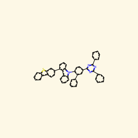 c1ccc(-c2nc(-c3ccccc3)nc(-c3ccc(-n4c5ccccc5c5c(-c6ccc7c(c6)sc6ccccc67)cccc54)c(-c4ccccc4)c3)n2)cc1